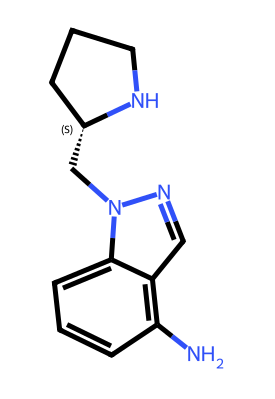 Nc1cccc2c1cnn2C[C@@H]1CCCN1